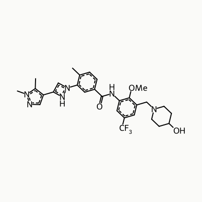 COc1c(CN2CCC(O)CC2)cc(C(F)(F)F)cc1NC(=O)c1ccc(C)c(-n2cc(-c3cnn(C)c3C)[nH]2)c1